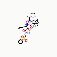 C=CCCC(NC(=O)[C@@H]1[C@@H]2[C@H](CN1C(=O)[C@@H](C)C1CCCCC1)C2(C)C)C(=O)C(=O)NCCS(=O)(=O)c1ccccc1